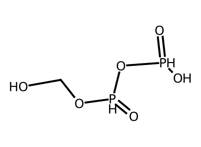 O=[PH](O)O[PH](=O)OCO